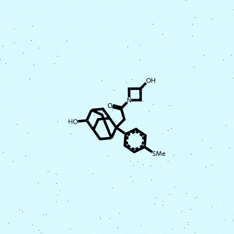 CSc1ccc(C2(CC(=O)N3CC(O)C3)C3CC4CC2CC(C3)C4O)cc1